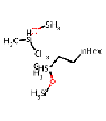 CCCCCCCC[SiH](C)O[SiH3].C[SiH](C)O[SiH3]